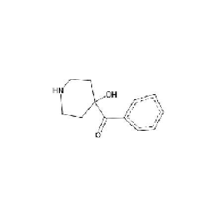 O=C(c1ccccc1)C1(O)CCNCC1